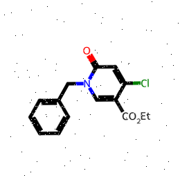 CCOC(=O)c1cn(Cc2ccccc2)c(=O)cc1Cl